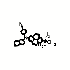 CC(C)(C)c1cc2ccc3cc(N(c4ccc(C#N)cc4)c4ccc5ccccc5c4)cc4ccc(c1)c2c34